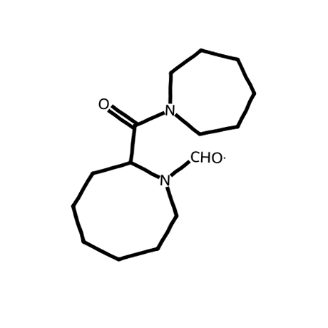 O=[C]N1CCCCCCC1C(=O)N1CCCCCC1